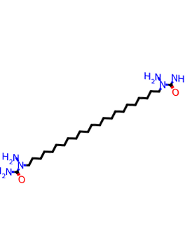 NC(=O)N(N)CCCCCCCCCCCCCCCCCCCCCCCN(N)C(N)=O